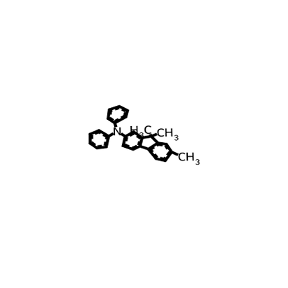 Cc1ccc2c(c1)C(C)(C)c1cc(N(c3ccccc3)c3ccccc3)ccc1-2